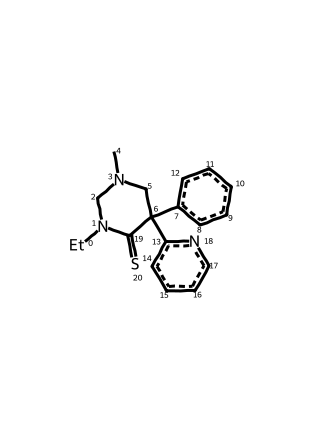 CCN1CN(C)CC(c2ccccc2)(c2ccccn2)C1=S